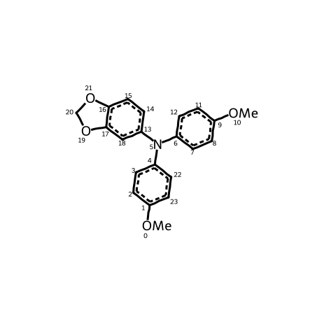 COc1ccc(N(c2ccc(OC)cc2)c2ccc3c(c2)OCO3)cc1